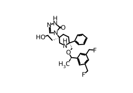 C[C@@H](OC[C@@]1(c2ccccc2)CC[C@](CCO)(n2cn[nH]c2=O)CN1)c1cc(CF)cc(CF)c1